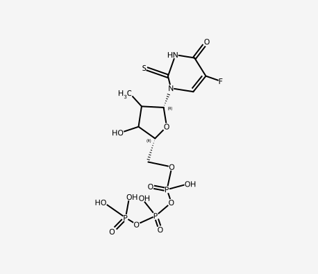 CC1C(O)[C@@H](COP(=O)(O)OP(=O)(O)OP(=O)(O)O)O[C@H]1n1cc(F)c(=O)[nH]c1=S